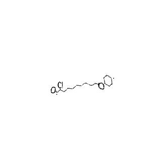 O=[C]C(Cl)CCCCCCCCOC1CC[CH]CC1